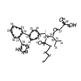 CCCCC(=O)N(Cc1ccc(-c2ccccc2-c2nnn[nH]2)cc1)[C@@H](OCC(=O)O)C(C)C